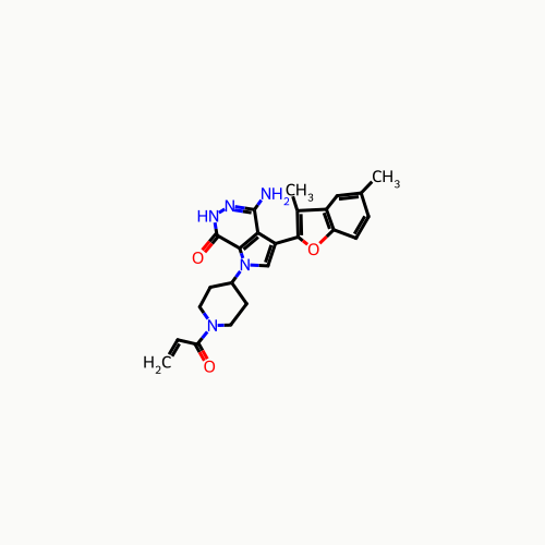 C=CC(=O)N1CCC(n2cc(-c3oc4ccc(C)cc4c3C)c3c(N)n[nH]c(=O)c32)CC1